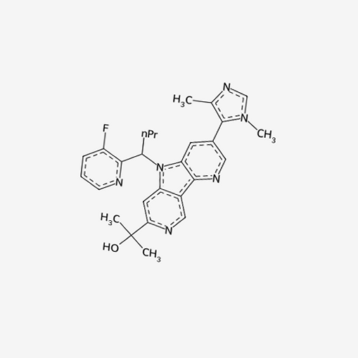 CCCC(c1ncccc1F)n1c2cc(C(C)(C)O)ncc2c2ncc(-c3c(C)ncn3C)cc21